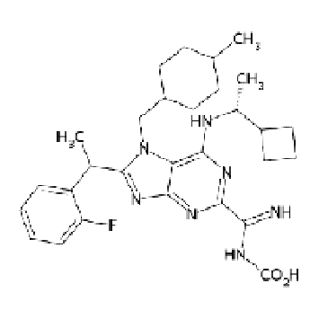 CC1CCC(Cn2c(C(C)c3ccccc3F)nc3nc(C(=N)NC(=O)O)nc(N[C@H](C)C4CCC4)c32)CC1